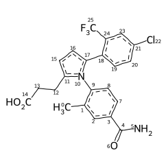 Cc1cc(C(N)=O)ccc1-n1c(CCC(=O)O)ccc1-c1ccc(Cl)cc1C(F)(F)F